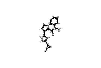 CC1CC1c1noc(-c2ncn3c2c(=O)n(C(C)C)c2ccccc23)n1